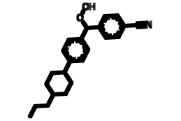 CCCC1CCC(c2ccc(C(OO)c3ccc(C#N)cc3)cc2)CC1